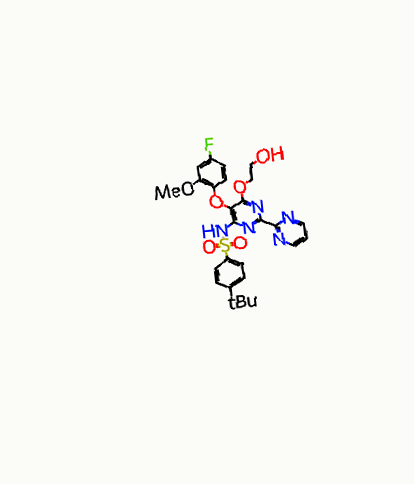 COc1cc(F)ccc1Oc1c(NS(=O)(=O)c2ccc(C(C)(C)C)cc2)nc(-c2ncccn2)nc1OCCO